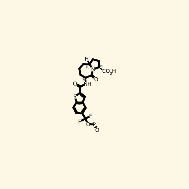 O=POC(F)(F)c1ccc2sc(C(=O)N[C@H]3CCC[C@@H]4CC[C@@H](C(=O)O)N4C3=O)cc2c1